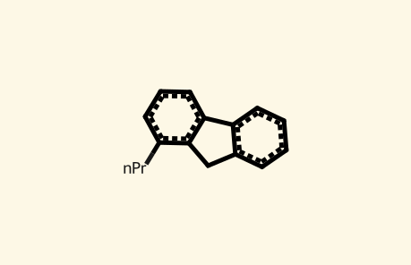 CCCc1cccc2c1Cc1ccccc1-2